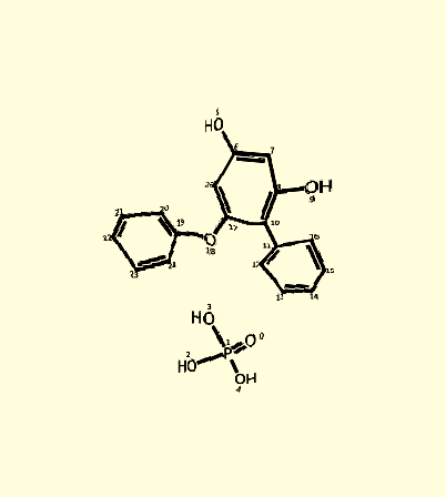 O=P(O)(O)O.Oc1cc(O)c(-c2ccccc2)c(Oc2ccccc2)c1